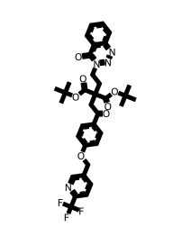 CC(C)(C)OC(=O)C(CCn1nnc2ccccc2c1=O)(CC(=O)c1ccc(OCc2ccc(C(F)(F)F)nc2)cc1)C(=O)OC(C)(C)C